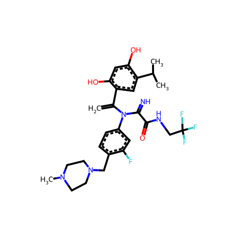 C=C(c1cc(C(C)C)c(O)cc1O)N(C(=N)C(=O)NCC(F)(F)F)c1ccc(CN2CCN(C)CC2)c(F)c1